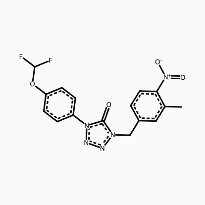 Cc1cc(Cn2nnn(-c3ccc(OC(F)F)cc3)c2=O)ccc1[N+](=O)[O-]